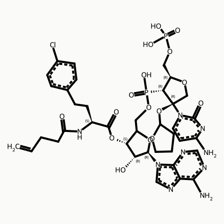 C=CCCC(=O)N[C@@H](CCc1ccc(Cl)cc1)C(=O)O[C@@H]1C(COP(=O)(O)[C@@H]2[C@@H](COP(=O)(O)O)OC[C@]2(OC2CCCO2)n2ccc(N)nc2=O)O[C@@H](n2cnc3c(N)ncnc32)[C@@H]1O